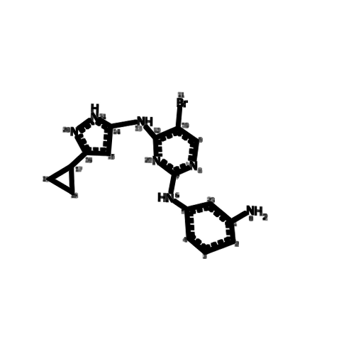 Nc1cccc(Nc2ncc(Br)c(Nc3cc(C4CC4)n[nH]3)n2)c1